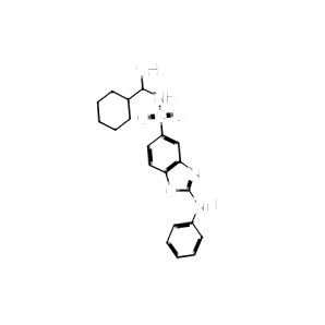 CC(NS(=O)(=O)c1ccc2oc(Nc3ccccc3)nc2c1)C1CCCCC1